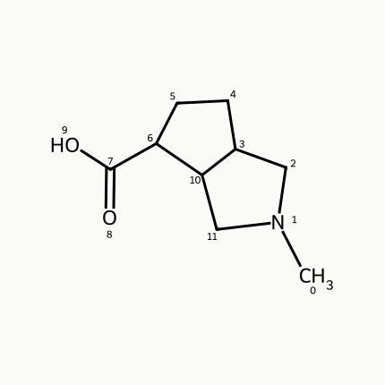 CN1CC2CCC(C(=O)O)C2C1